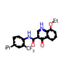 CCOc1cccc2c(=O)c(C(=O)Nc3ccc(C(C)C)cc3C(F)(F)F)c[nH]c12